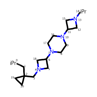 CC(C)CC1(CN2CC(N3CCN(C4CN(C(C)C)C4)CC3)C2)CC1